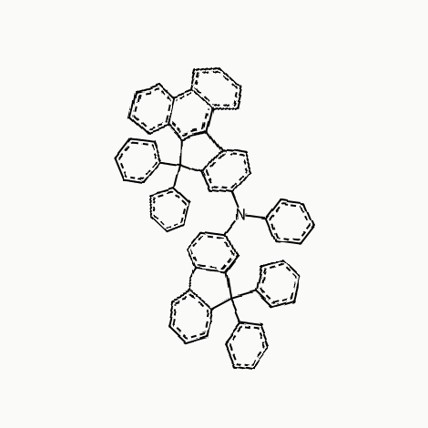 c1ccc(N(c2ccc3c(c2)C(c2ccccc2)(c2ccccc2)c2ccccc2-3)c2ccc3c(c2)C(c2ccccc2)(c2ccccc2)c2c-3c3ccccc3c3ccccc23)cc1